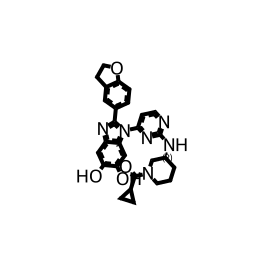 O=C(C1CC1)N1CCC[C@@H](Nc2nccc(-n3c(-c4ccc5c(c4)CCO5)nc4cc(O)c(O)cc43)n2)C1